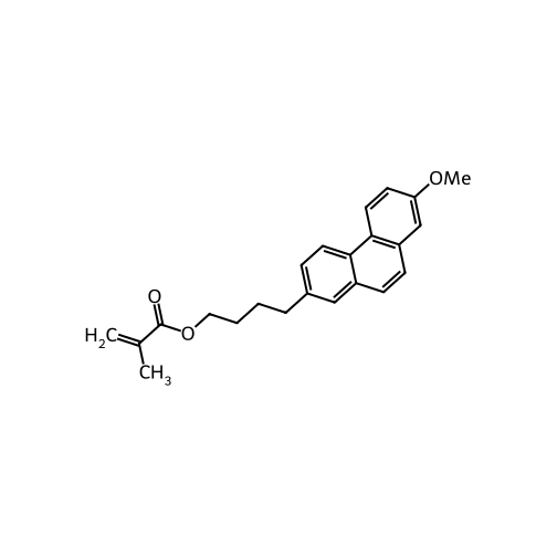 C=C(C)C(=O)OCCCCc1ccc2c(ccc3cc(OC)ccc32)c1